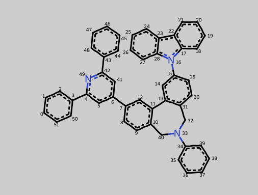 c1ccc(-c2cc(-c3ccc4c(c3)-c3cc(-n5c6ccccc6c6ccccc65)ccc3CN(c3ccccc3)C4)cc(-c3ccccc3)n2)cc1